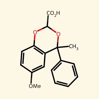 COc1ccc2c(c1)C(C)(c1ccccc1)OC(C(=O)O)O2